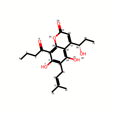 CCCC(=O)c1c(O)c(CC=C(C)C)c(O)c2c([C@@H](O)CC)cc(=O)oc12